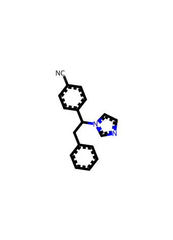 N#Cc1ccc(C(Cc2ccccc2)n2ccnc2)cc1